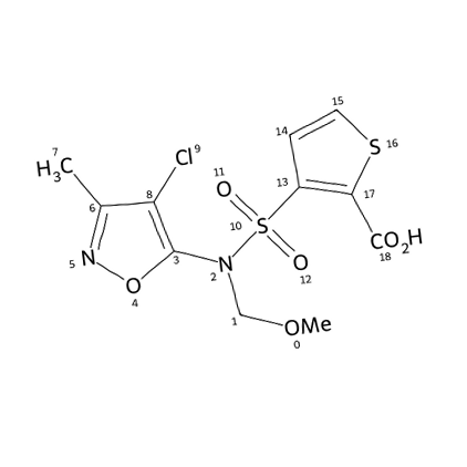 COCN(c1onc(C)c1Cl)S(=O)(=O)c1ccsc1C(=O)O